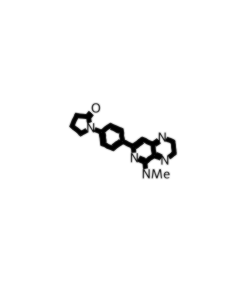 CNc1nc(-c2ccc(N3CCCC3=O)cc2)cc2c1=NCCN=2